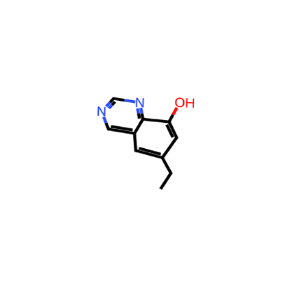 CCc1cc(O)c2ncncc2c1